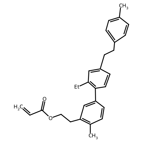 C=CC(=O)OCCc1cc(-c2ccc(CCc3ccc(C)cc3)cc2CC)ccc1C